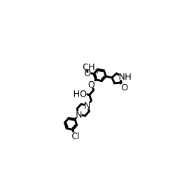 COc1ccc(C2CNC(=O)C2)cc1OCC(O)CN1CCN(c2cccc(Cl)c2)CC1